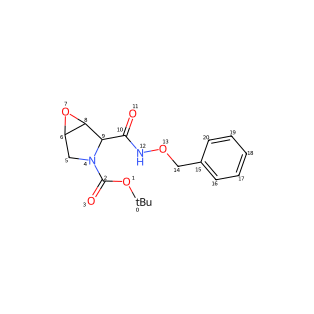 CC(C)(C)OC(=O)N1CC2OC2C1C(=O)NOCc1ccccc1